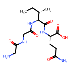 CC[C@H](C)[C@H](NC(=O)CNC(=O)CN)C(=O)N[C@@H](CCC(N)=O)C(=O)O